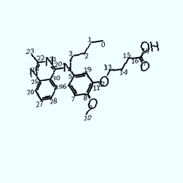 CCCCN(c1ccc(OC)c(OCCCC(=O)O)c1)c1nc(C)nc2ccccc12